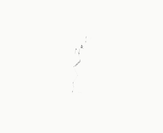 CCCC=CN=C=O